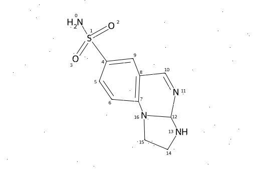 NS(=O)(=O)c1ccc2c(c1)C=NC1NCCN21